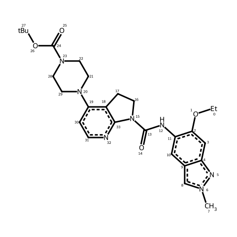 CCOc1cc2nn(C)cc2cc1NC(=O)N1CCc2c(N3CCN(C(=O)OC(C)(C)C)CC3)ccnc21